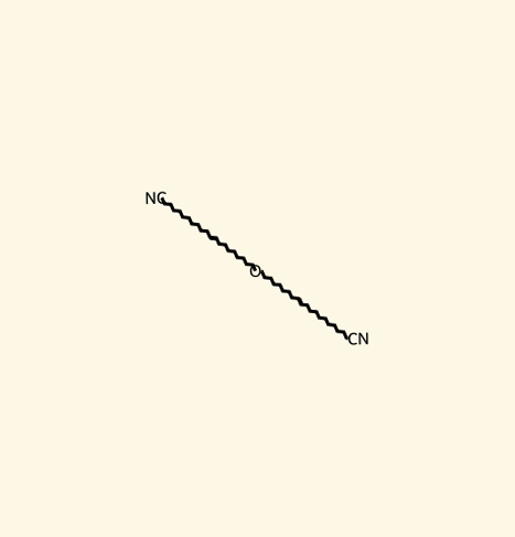 N#CCCCCCCCCCCC=CCCCCCCCCOCCCCCCCCC=CCCCCCCCCCCC#N